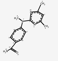 Cc1cc(C)nc(N(C)c2ccc(C(N)=O)cc2)n1